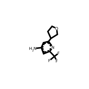 Nc1cc(C2CCOC2)nc(C(F)(F)F)c1